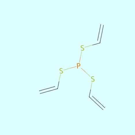 C=CSP(SC=C)SC=C